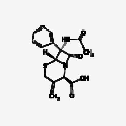 C=C1CS[C@H]2N(C(=O)[C@]2(NC(C)=O)c2ccccc2)[C@H]1C(=O)O